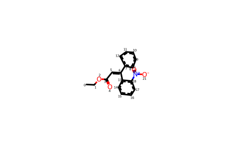 CCOC(=O)C=C(c1ccccc1)c1ccccc1[N+](=O)[O-]